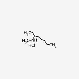 CCCCCC(CC)NC.Cl